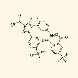 CS(=O)(=O)c1ccc(-n2nc(C(N)=O)c3c2-c2cc(NC(=O)c4ccc(C(F)(F)F)cc4[N+](=O)[O-])ccc2CC3)cc1